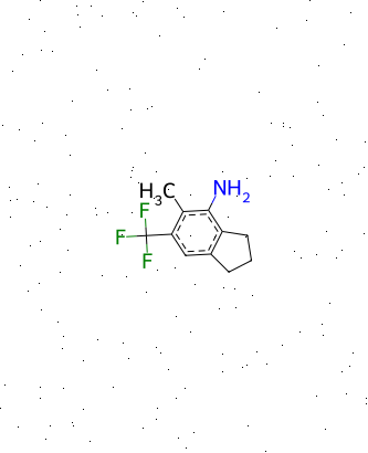 Cc1c(C(F)(F)F)cc2c(c1N)CCC2